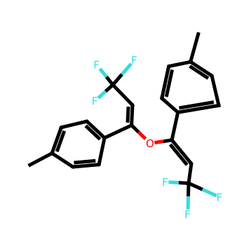 Cc1ccc(C(=CC(F)(F)F)OC(=CC(F)(F)F)c2ccc(C)cc2)cc1